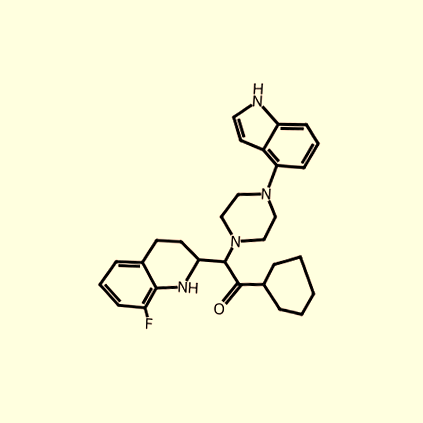 O=C(C1CCCCC1)C(C1CCc2cccc(F)c2N1)N1CCN(c2cccc3[nH]ccc23)CC1